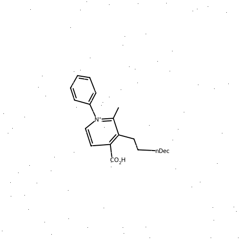 CCCCCCCCCCCCc1c(C(=O)O)cc[n+](-c2ccccc2)c1C